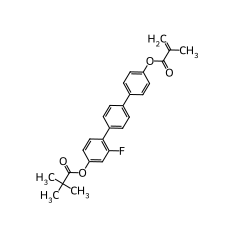 C=C(C)C(=O)Oc1ccc(-c2ccc(-c3ccc(OC(=O)C(C)(C)C)cc3F)cc2)cc1